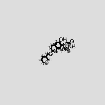 O=C1CN(c2c(O)cc3cnc(OCC4CCCOC4)nc3c2F)S(=O)(=O)N1